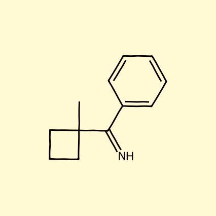 CC1(C(=N)c2ccccc2)CCC1